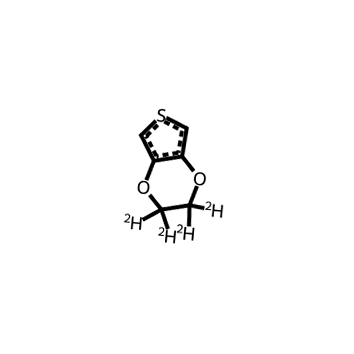 [2H]C1([2H])Oc2cscc2OC1([2H])[2H]